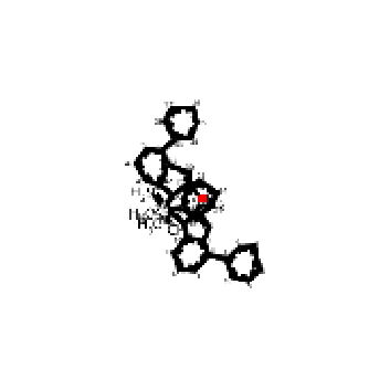 CC1=Cc2c(-c3ccccc3)cccc2[CH]1[Zr]([CH3])([CH3])([CH3])(=[SiH2])([c]1ccccc1)[CH]1C(C)=Cc2c(-c3ccccc3)cccc21